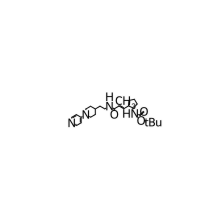 C/C(=C\C1=CCCC1NC(=O)OC(C)(C)C)C(=O)NCCC1CCN(c2ccncc2)CC1